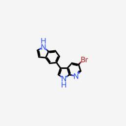 Brc1cnc2[nH]cc(-c3ccc4[nH]ccc4c3)c2c1